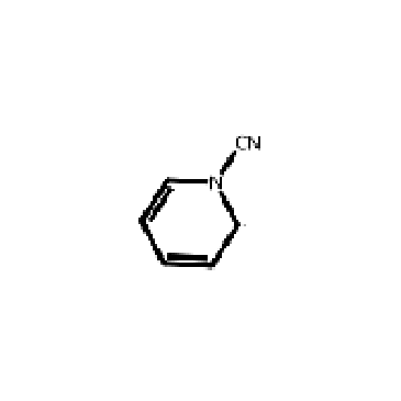 N#CN1[CH]C=CC=C1